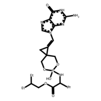 CCC(CC)COC(=O)C(N[P]1(O)OCC2(CO1)CC2=Cn1cnc2c(=O)[nH]c(N)nc21)C(C)C